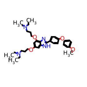 CCN(CC)CCCOc1cc(OCCCN(CC)CC)c2nc(-c3ccc(Oc4ccc(OC)cc4)cc3)[nH]c2c1